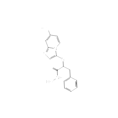 Cc1ccn2c(NC(Cc3ccccc3)C(=O)NO)cnc2c1